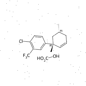 C[C@@H]1CC=C[C@](C)(c2ccc(Cl)c(C(F)(F)F)c2)C1.O=C(O)O